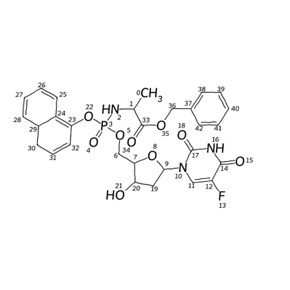 CC(NP(=O)(OCC1OC(n2cc(F)c(=O)[nH]c2=O)CC1O)OC1=C2C=CC=CC2CC=C1)C(=O)OCc1ccccc1